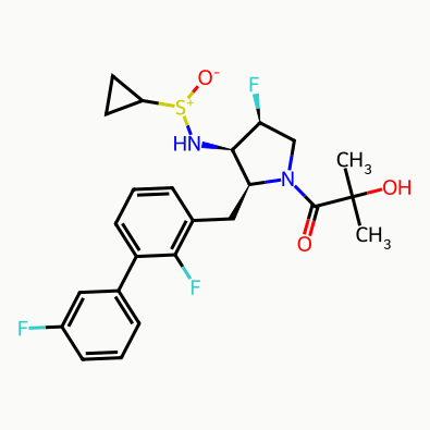 CC(C)(O)C(=O)N1C[C@H](F)[C@H](N[S+]([O-])C2CC2)[C@@H]1Cc1cccc(-c2cccc(F)c2)c1F